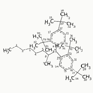 CCCCCCC(C)[C](c1ccc(C(C)(C)C)cc1C(C)(C)C)c1ccc(C(C)(C)C)cc1C(C)(C)C